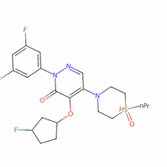 CCC[SH]1(=O)CCN(c2cnn(-c3cc(F)cc(F)c3)c(=O)c2OC2CCC(F)C2)CC1